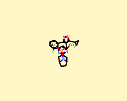 Cc1cc(C(=O)O)nc(N2C3CCC2CC(OCc2c(-c4cccc(F)c4F)noc2C2CC2)C3)n1